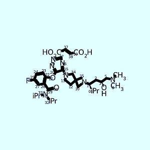 CC(C)[C@H](C[C@@H](O)CN(C)C)N1CC2(CCN(c3ncnnc3Oc3ccc(F)cc3C(=O)N(C(C)C)C(C)C)C2)C1.O=C(O)/C=C/C(=O)O